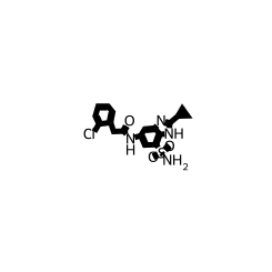 NS(=O)(=O)c1cc(NC(=O)Cc2ccccc2Cl)cc2nc(C3CC3)[nH]c12